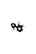 Clc1[c]cccc1-c1cccc(Cl)c1Cl